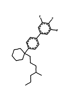 CCCC(C)CCCC1(c2ccc(-c3cc(F)c(F)c(F)c3)cc2)CCCCC1